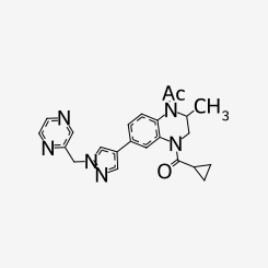 CC(=O)N1c2ccc(-c3cnn(Cc4cnccn4)c3)cc2N(C(=O)C2CC2)CC1C